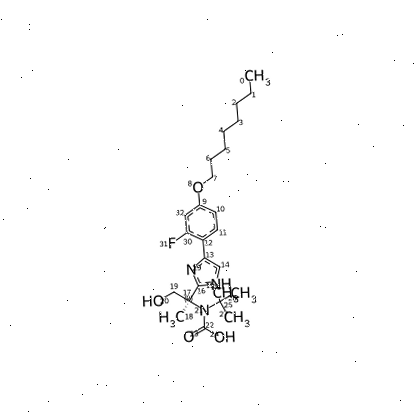 CCCCCCCCOc1ccc(-c2c[nH]c([C@](C)(CO)N(C(=O)O)C(C)(C)C)n2)c(F)c1